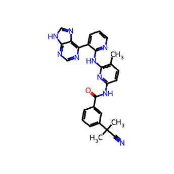 Cc1ccc(NC(=O)c2cccc(C(C)(C)C#N)c2)nc1Nc1ncccc1-c1ncnc2[nH]cnc12